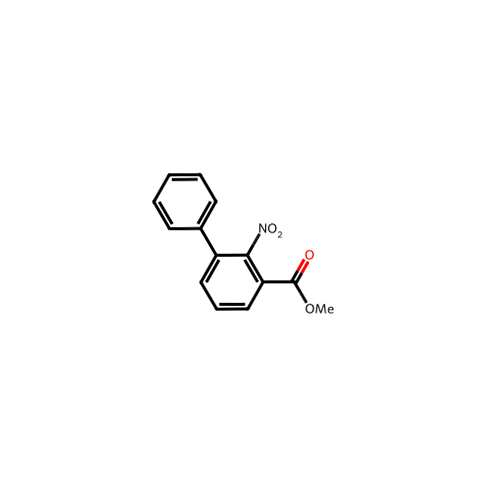 COC(=O)c1cccc(-c2ccccc2)c1[N+](=O)[O-]